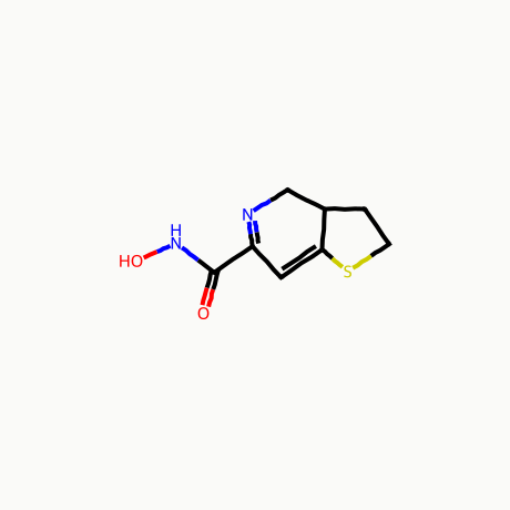 O=C(NO)C1=NCC2CCSC2=C1